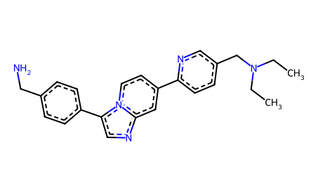 CCN(CC)Cc1ccc(-c2ccn3c(-c4ccc(CN)cc4)cnc3c2)nc1